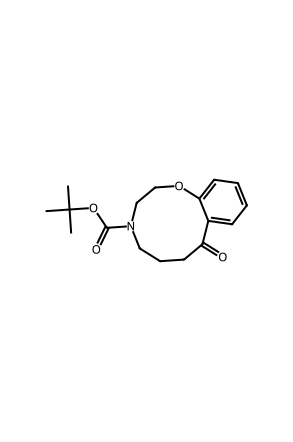 CC(C)(C)OC(=O)N1CCCC(=O)c2ccccc2OCC1